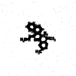 CC(C)[C@@H]1CC[C@@H](C)C[C@H]1C(=O)Nc1ccc2ccccc2c1OCCN